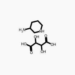 NC1CCCNC1.O=C(O)C(O)C(O)C(=O)O